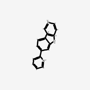 c1ccc(-c2ccc3c(c2)oc2ccncc23)nc1